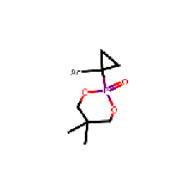 CC(=O)C1(P2(=O)OCC(C)(C)CO2)CC1